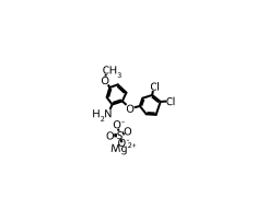 COc1ccc(Oc2ccc(Cl)c(Cl)c2)c(N)c1.O=S(=O)([O-])[O-].[Mg+2]